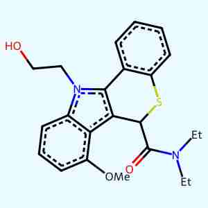 CCN(CC)C(=O)C1Sc2ccccc2-c2c1c1c(OC)cccc1n2CCO